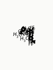 Cc1nc(C2(C(F)(F)F)CC2)cc(F)c1Oc1nnc(C(F)(F)F)c(C)c1C(=O)Nc1cccc(S(C)(=N)=O)c1